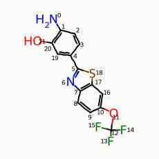 Nc1ccc(-c2nc3ccc(OC(F)(F)F)cc3s2)cc1O